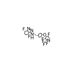 Fc1cnc(C(F)(F)F)c(F)c1Oc1ccc(CCNc2ncnc3c(F)ccc(F)c23)cc1